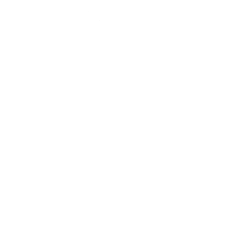 O=c1cc(CO)oc(COc2ccc(C#CC#Cc3ccccc3)cc2)c1O